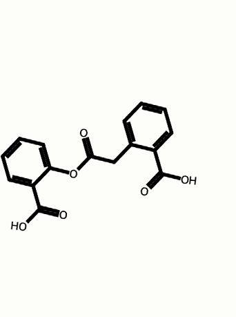 O=C(Cc1ccccc1C(=O)O)Oc1ccccc1C(=O)O